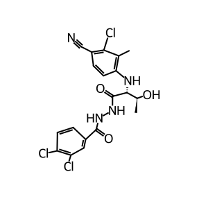 Cc1c(N[C@@H](C(=O)NNC(=O)c2ccc(Cl)c(Cl)c2)[C@H](C)O)ccc(C#N)c1Cl